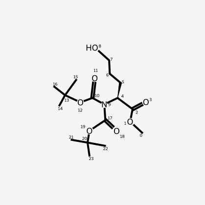 COC(=O)[C@H](CCCO)N(C(=O)OC(C)(C)C)C(=O)OC(C)(C)C